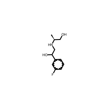 C[C@@H](CO)NCC(O)c1cccc(F)c1